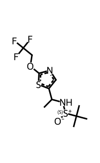 CC(N[S@+]([O-])C(C)(C)C)c1cnc(OCC(F)(F)F)s1